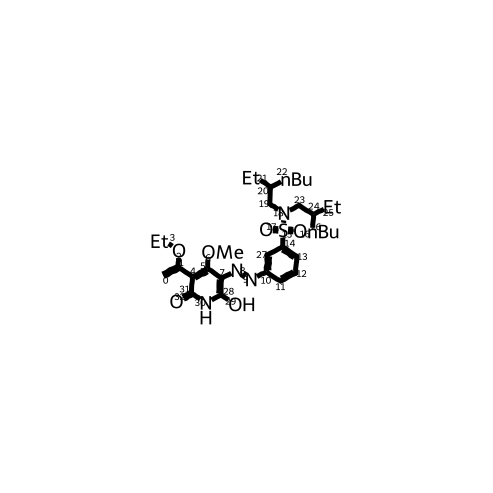 C=C(OCC)c1c(OC)c(/N=N/c2cccc(S(=O)(=O)N(CC(CC)CCCC)CC(CC)CCCC)c2)c(O)[nH]c1=O